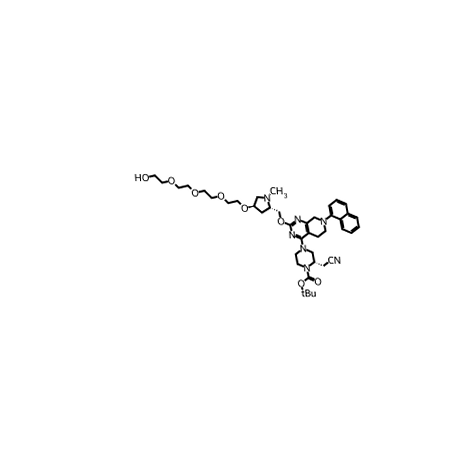 CN1C[C@H](OCCOCCOCCOCCO)C[C@H]1COc1nc2c(c(N3CCN(C(=O)OC(C)(C)C)[C@@H](CC#N)C3)n1)CCN(c1cccc3ccccc13)C2